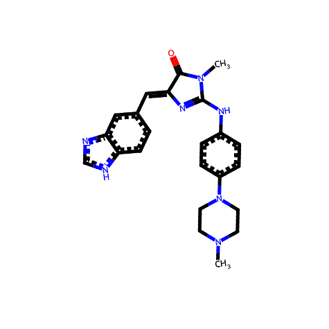 CN1CCN(c2ccc(NC3=N/C(=C\c4ccc5[nH]cnc5c4)C(=O)N3C)cc2)CC1